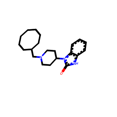 O=c1[nH]c2ccccc2n1C1CCN(CC2CCCCCCC2)CC1